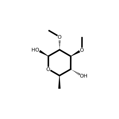 CO[C@@H]1[C@@H](OC)[C@H](O)[C@@H](C)O[C@H]1O